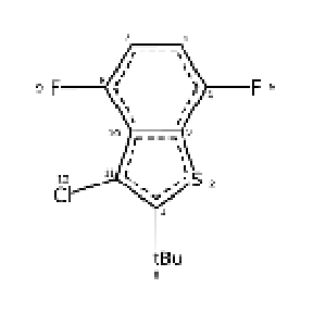 CC(C)(C)c1sc2c(F)ccc(F)c2c1Cl